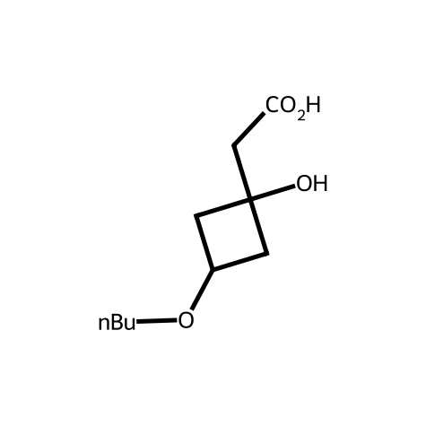 CCCCOC1CC(O)(CC(=O)O)C1